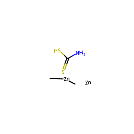 NC(=S)S.[CH3][Zn][CH3].[Zn]